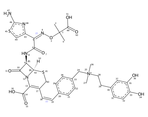 CC(C)(O/N=C(\C(=O)N[C@@H]1C(=O)N2C(C(=O)O)=C(/C=C\c3ccc(C[N+](C)(C)CCc4ccc(O)c(O)c4)cc3)CS[C@H]12)c1csc(N)n1)C(=O)O